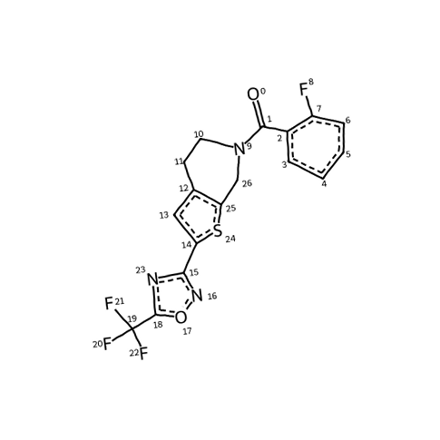 O=C(c1ccccc1F)N1CCc2cc(-c3noc(C(F)(F)F)n3)sc2C1